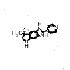 CC1(C)CNc2cc3c(cc21)NC(c1ccncc1)N3